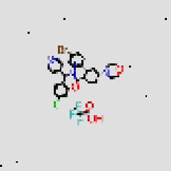 O=C(NC(c1ccncc1)c1ccc(Cl)cc1)[C@@H]1CC[C@H](N2CCOCC2)C[C@H]1c1ccc(Br)cc1.O=C(O)C(F)(F)F